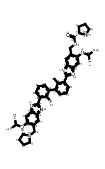 Cc1c(-c2nc3cc(COC(=O)[C@@H]4CCCN4)c(OC(F)F)cc3o2)cccc1-c1cccc(-c2nc3cc(CN4CCCC4)c(OC(F)F)cc3o2)c1F